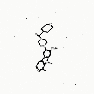 COc1cc2c(cc1N1CCN(C(=O)C3CCOCC3)CC1)c1ccnc(C)c1n2C